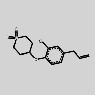 C=CCc1ccc(OC2CCS(=O)(=O)CC2)c(Cl)c1